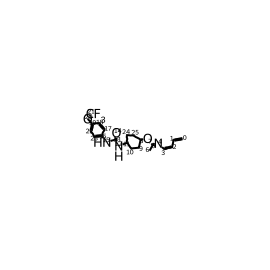 C=C/C=C\N=C(/C)OC1CCC(NC(=O)Nc2ccc(OC(F)(F)F)cc2)CC1